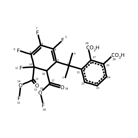 CC(C)(C1=C(F)C(F)=C(F)C(F)(C(=O)OF)C1C(=O)OF)c1cccc(C(=O)O)c1C(=O)O